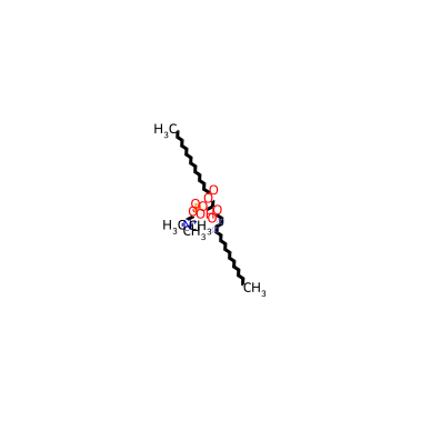 CCCCCCCCCCCCC/C=C\C=C/C(=O)OC(COC(=O)CCCCCCCCCCCCCCC)COP(=O)(O)OCC[N+](C)(C)C